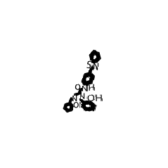 O=C(Nc1ccc(-c2nc3ccccc3s2)cc1)C(CN=Cc1ccccc1O)N=Cc1ccccc1O